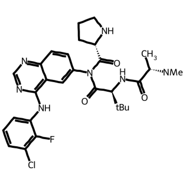 CN[C@@H](C)C(=O)N[C@H](C(=O)N(C(=O)[C@@H]1CCCN1)c1ccc2ncnc(Nc3cccc(Cl)c3F)c2c1)C(C)(C)C